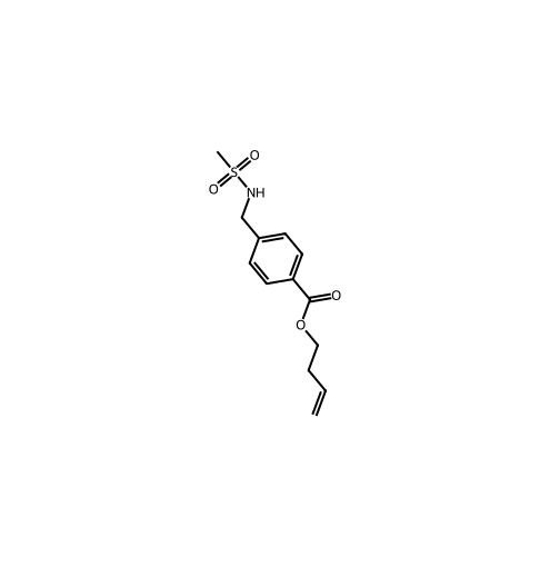 C=CCCOC(=O)c1ccc(CNS(C)(=O)=O)cc1